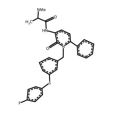 CNC(C)C(=O)Nc1ccc(-c2ccccc2)n(Cc2cccc(Sc3ccc(F)cc3)c2)c1=O